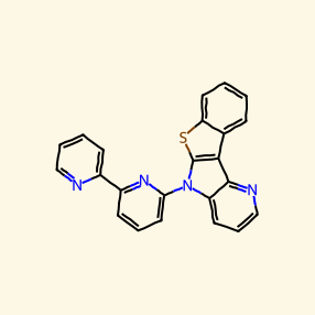 c1ccc(-c2cccc(-n3c4cccnc4c4c5ccccc5sc43)n2)nc1